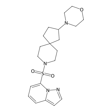 O=S(=O)(c1cccc2ccnn12)N1CCC2(CCC(N3CCOCC3)C2)CC1